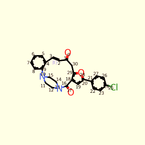 O=C1/C=C/c2ccccc2N2CCN(CC2)C(=O)c2cc(-c3ccc(Cl)cc3)oc2C1